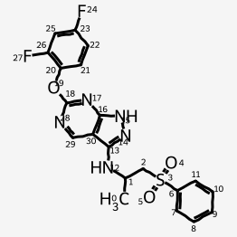 CC(CS(=O)(=O)c1ccccc1)Nc1n[nH]c2nc(Oc3ccc(F)cc3F)ncc12